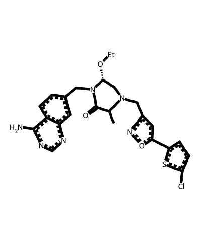 CCO[C@@H]1CN(Cc2cc(-c3ccc(Cl)s3)on2)C(C)C(=O)N1Cc1ccc2c(N)ncnc2c1